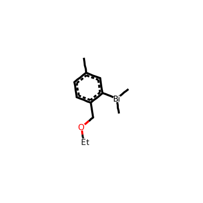 CCOCc1ccc(C)c[c]1[Bi]([CH3])[CH3]